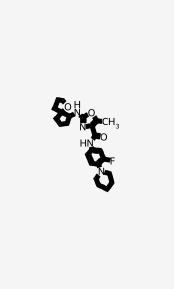 Cc1oc(NC2CCCC23CCCO3)nc1C(=O)Nc1ccc(N2CCCCC2)c(F)c1